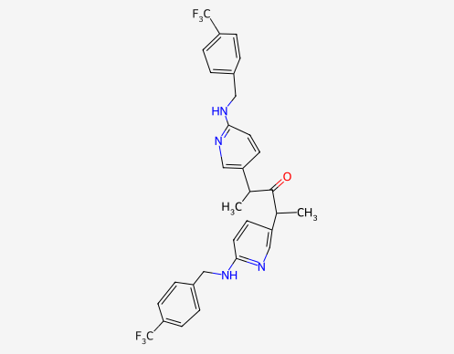 CC(C(=O)C(C)c1ccc(NCc2ccc(C(F)(F)F)cc2)nc1)c1ccc(NCc2ccc(C(F)(F)F)cc2)nc1